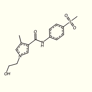 Cc1cn(CCO)cc1C(=O)Nc1ccc(S(C)(=O)=O)cc1